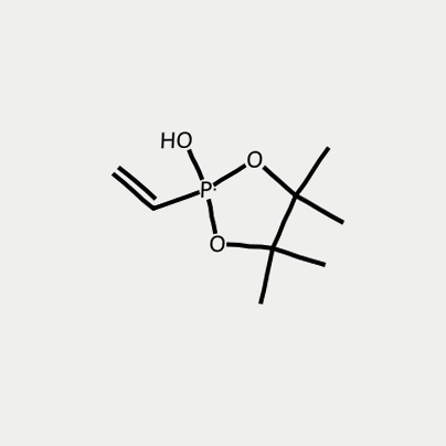 C=C[P]1(O)OC(C)(C)C(C)(C)O1